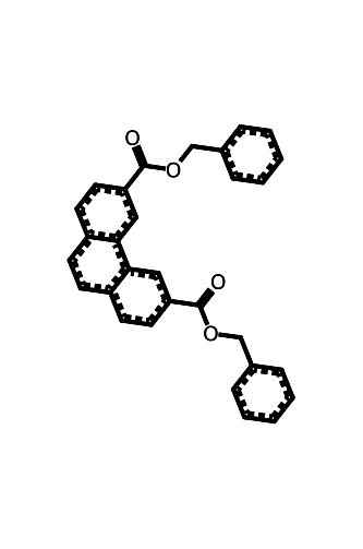 O=C(OCc1ccccc1)c1ccc2ccc3ccc(C(=O)OCc4ccccc4)cc3c2c1